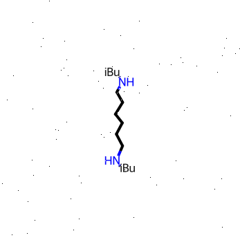 CCC(C)NCCCCCCNC(C)CC